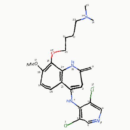 C=C1C=C(Nc2c(Cl)cncc2Cl)c2ccc(OC)c(OCCCCN(C)C)c2N1